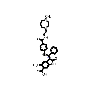 Cc1cc2c(cc1C(=O)O)NC(=O)/C2=C(/Nc1ccc(C(=O)NCCN2CCCN(C)CC2)cc1)c1ccccc1